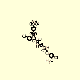 Cc1cc(OCC(=O)NC23CC(NC(=O)C4CN(S(=O)(=O)c5ccc(S(N)(=O)=O)cc5)c5cc(Cl)ccc5O4)(C2)C3)ccc1Cl